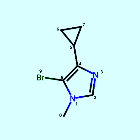 Cn1cnc(C2CC2)c1Br